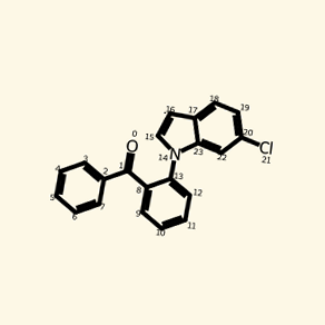 O=C(c1ccccc1)c1ccccc1-n1c[c]c2ccc(Cl)cc21